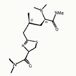 CNC(=O)[C@@H](C[C@H](C)CC1=NC(C(=O)N(C)C)CS1)N(C)C